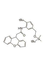 CC(C)(C)c1ccc(CO[Si](C)(C)C(C)(C)C)cc1NC(=O)CC1c2ccccc2Oc2ccccc21